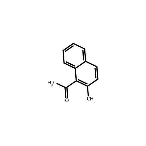 CC(=O)c1c(C)ccc2ccccc12